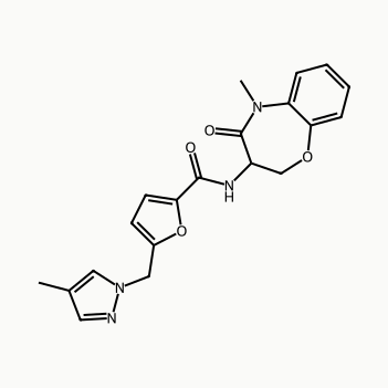 Cc1cnn(Cc2ccc(C(=O)NC3COc4ccccc4N(C)C3=O)o2)c1